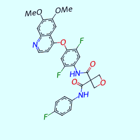 COc1cc2nccc(Oc3cc(F)c(NC(=O)C4(C(=O)Nc5ccc(F)cc5)COC4)cc3F)c2cc1OC